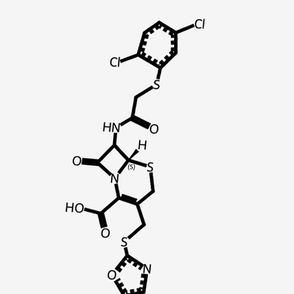 O=C(CSc1cc(Cl)ccc1Cl)NC1C(=O)N2C(C(=O)O)=C(CSc3ncco3)CS[C@@H]12